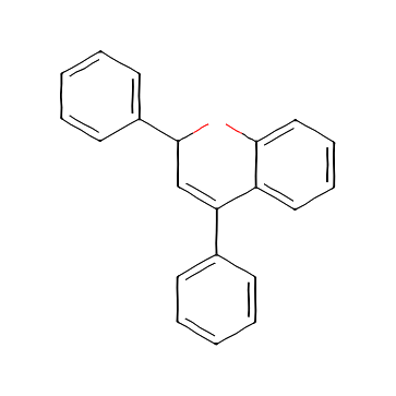 C1=C(c2ccccc2)c2ccccc2OC1c1ccccc1